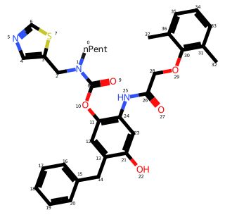 CCCCCN(Cc1cncs1)C(=O)Oc1cc(Cc2ccccc2)c(O)cc1NC(=O)COc1c(C)cccc1C